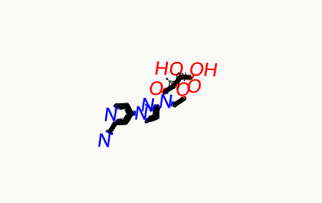 C[C@]1([C@@H](O)C(=O)O)OCCN(c2ccn(-c3ccnc(C#N)c3)n2)C1=O